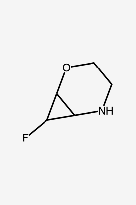 FC1C2NCCOC12